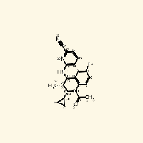 CC(=O)N1c2ccc(F)cc2[C@H](Nc2cccc(C#N)n2)[C@@H](C)[C@@H]1C1CC1